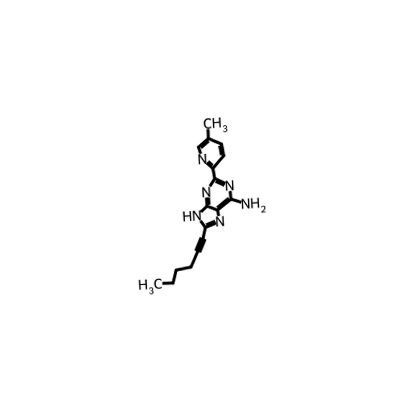 CCCCC#Cc1nc2c(N)nc(-c3ccc(C)cn3)nc2[nH]1